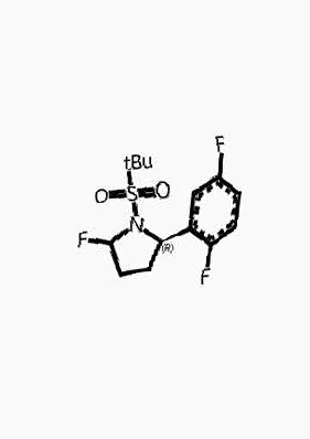 CC(C)(C)S(=O)(=O)N1C(F)CC[C@@H]1c1cc(F)ccc1F